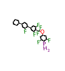 Fc1cc(-c2ccccc2)ccc1-c1cc(F)c(C(F)(F)Oc2cc(F)c(P)c(F)c2)c(F)c1